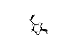 C=CC1COC(=C)O1